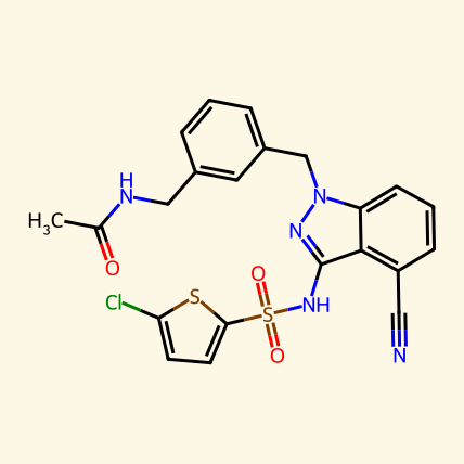 CC(=O)NCc1cccc(Cn2nc(NS(=O)(=O)c3ccc(Cl)s3)c3c(C#N)cccc32)c1